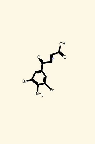 Nc1c(Br)cc(C(=O)/C=C/C(=O)O)cc1Br